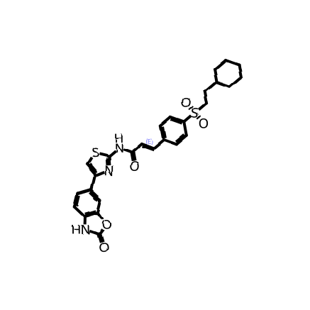 O=C(/C=C/c1ccc(S(=O)(=O)CCC2CCCCC2)cc1)Nc1nc(-c2ccc3[nH]c(=O)oc3c2)cs1